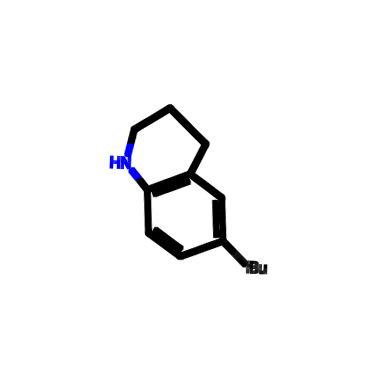 CCC(C)c1ccc2c(c1)CCCN2